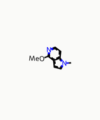 COc1nccc2c1ccn2C